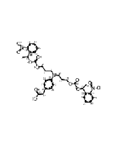 CC(OC(=O)OCCCN(CCCOC(=O)OC(C)c1ccccc1[N+](=O)[O-])c1ccc(CC(=O)O)cc1)c1ccccc1[N+](=O)[O-]